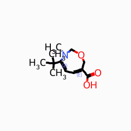 CN1COC/C(C(=O)O)=C\C=C/1C(C)(C)C